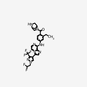 CCc1cc(Nc2nccn3c(-c4cn(CC(F)F)nc4C(F)(F)F)cnc23)ccc1C(=O)N1CC2CC1CN2